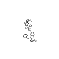 CNC1Cc2ccc(C3CN(S(=O)(=O)c4cnn(C)c4)C3)cc2C1Cc1ccccc1